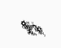 CCCOC(=O)C(C)(C)N[P@](=O)(CO[C@H](C)Cn1cnc2c(N)ncnc21)NC(=O)c1ccccc1Cl